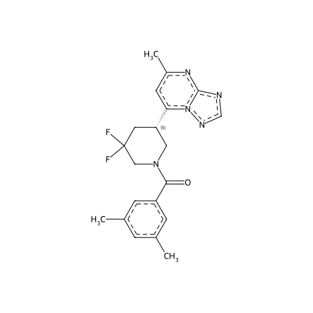 Cc1cc(C)cc(C(=O)N2C[C@@H](c3cc(C)nc4ncnn34)CC(F)(F)C2)c1